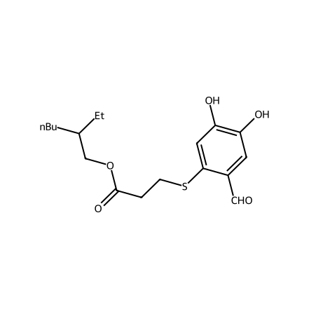 CCCCC(CC)COC(=O)CCSc1cc(O)c(O)cc1C=O